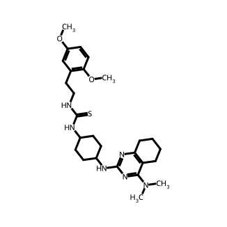 COc1ccc(OC)c(CCNC(=S)NC2CCC(Nc3nc4c(c(N(C)C)n3)CCCC4)CC2)c1